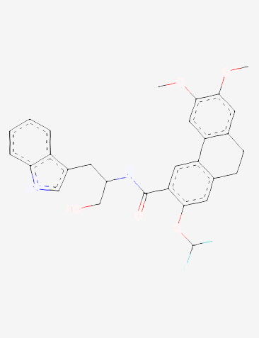 COc1cc2c(cc1OC)-c1cc(C(=O)NC(CO)Cc3c[nH]c4ccccc34)c(OC(F)F)cc1CC2